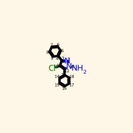 Nn1nc(-c2ccccc2)c(Cl)c1-c1ccccc1